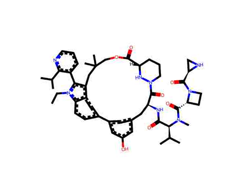 CCn1c(-c2cccnc2C(C)C)c2c3cc(ccc31)-c1cc(O)cc(c1)C[C@H](NC(=O)[C@H](C(C)C)N(C)C(=O)[C@H]1CCN1C(=O)[C@H]1CN1)C(=O)N1CCC[C@H](N1)C(=O)OCC(C)(C)C2